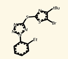 CCc1ccccc1-n1nnc(Sc2nc(C(C)(C)C)c(Br)s2)n1